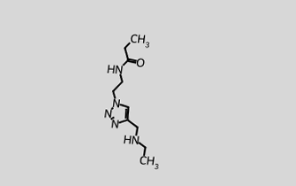 CCNCc1cn(CCNC(=O)CC)nn1